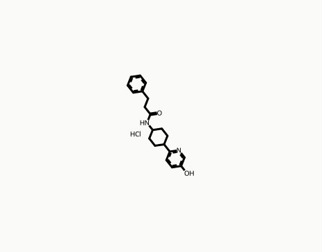 Cl.O=C(CCc1ccccc1)NC1CCC(c2ccc(O)cn2)CC1